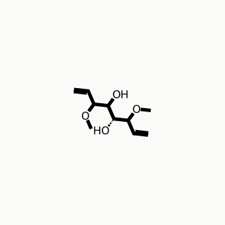 C=CC(OC)C(O)[C@@H](O)C(C=C)OC